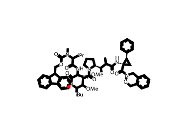 CCC(C)C(C(CC(=O)N1CCC[C@H]1C(OC)C(C)C(=O)N[C@@]1(C(=O)N2Cc3ccccc3CO2)C[C@@H]1c1ccccc1)OC)N(C)C(=O)C(NC(=O)C(C(C)C)N(C)C(=O)OCC1c2ccccc2-c2ccccc21)C(C)C